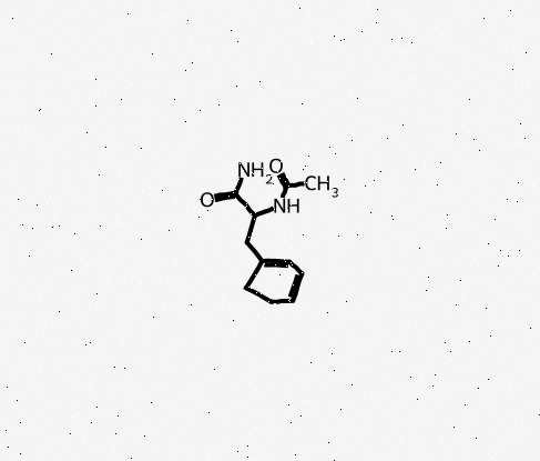 CC(=O)NC(CC1=CC=CCC1)C(N)=O